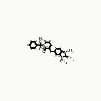 C=C1N(C)c2ccc(Cc3cccn(C(C)(C)c4ccccc4)c3=O)cc2N1C